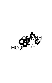 Cc1cc(Nc2cc(C(F)(F)F)ccn2)nc(-c2cnc(C3(O)CCCCc4c(C(=O)O)cccc43)s2)c1